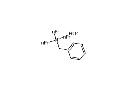 CCC[N+](CCC)(CCC)Cc1ccccc1.[OH-]